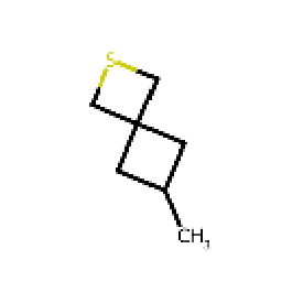 CC1CC2(CSC2)C1